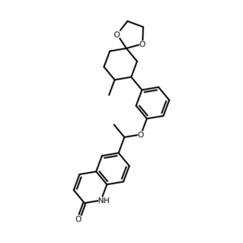 CC(Oc1cccc(C2CC3(CCC2C)OCCO3)c1)c1ccc2[nH]c(=O)ccc2c1